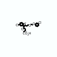 C[C@H](CC(=O)O)CC(=O)c1c(CCOCCOc2cccc(Cl)c2)n(C)c2ccc(Cl)cc12